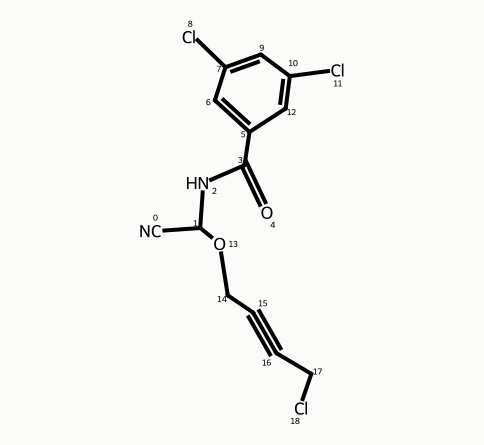 N#CC(NC(=O)c1cc(Cl)cc(Cl)c1)OCC#CCCl